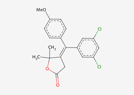 COc1ccc(C(=C2CC(=O)OC2(C)C)c2cc(Cl)cc(Cl)c2)cc1